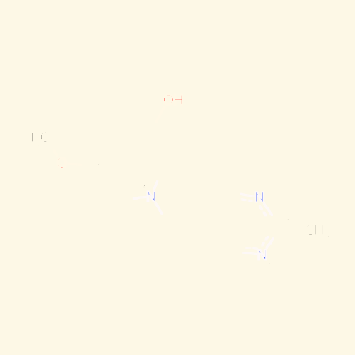 COCCN(CCO)Cc1cnc(C)nc1